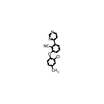 Cc1ccc(Oc2cccc(-c3ccncn3)c2C#N)c(Cl)c1